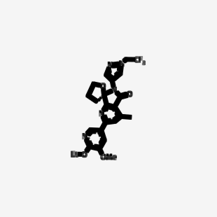 CCOc1ncc(-c2cc(C)c3c(n2)[C@]2(CCCO2)N(c2cnn(CC(F)(F)F)c2)C3=O)cc1OC